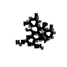 CCN(c1nc(N)nc(N)c1C#N)c1nc2c(F)ccc(F)c2c(=O)n1-c1cc(F)cc(F)c1